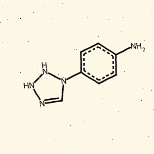 Nc1ccc(N2C=NNN2)cc1